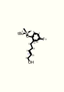 CC(C)(C)[Si](C)(C)Oc1ccc(F)cc1CC/C=C/CO